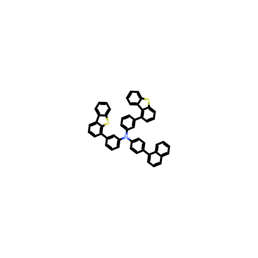 c1cc(-c2cccc3c2sc2ccccc23)cc(N(c2ccc(-c3cccc4ccccc34)cc2)c2cccc(-c3cccc4sc5ccccc5c34)c2)c1